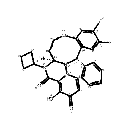 O=C1c2c(O)c(=O)ccn2N2[C@@H](c3ccccc3)c3cc(F)c(F)cc3OCC[C@@H]2N1C1CCC1